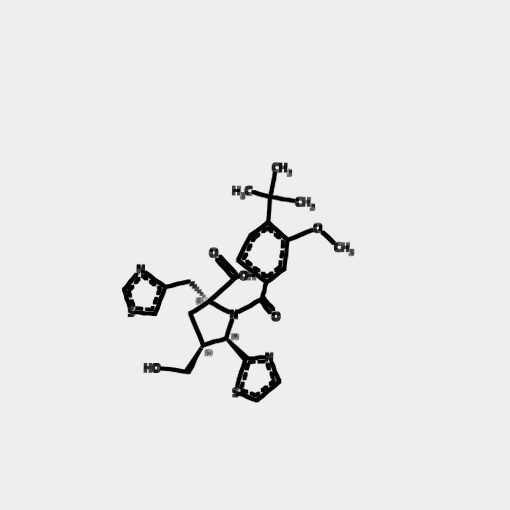 COc1cc(C(=O)N2[C@@H](c3nccs3)[C@@H](CO)C[C@@]2(Cc2cscn2)C(=O)O)ccc1C(C)(C)C